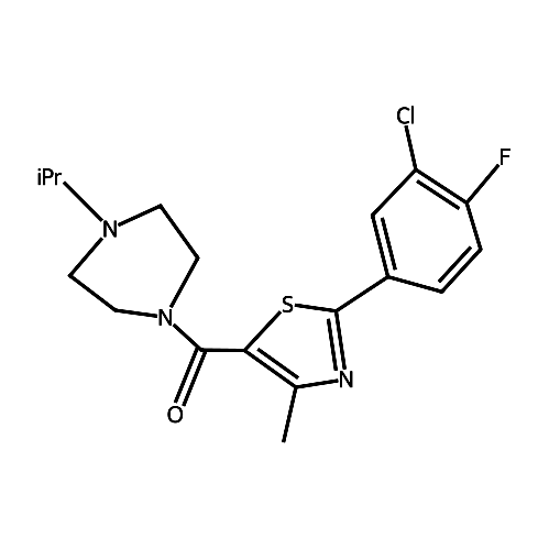 Cc1nc(-c2ccc(F)c(Cl)c2)sc1C(=O)N1CCN(C(C)C)CC1